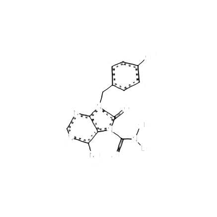 CCN(C)C(=O)n1c(=O)n(Cc2ccc(Cl)cc2)c2ncnc(N)c21